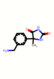 CC1(c2cccc(CN)c2)NC(=O)NC1=O